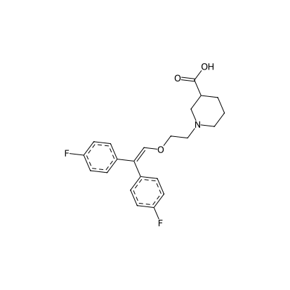 O=C(O)C1CCCN(CCOC=C(c2ccc(F)cc2)c2ccc(F)cc2)C1